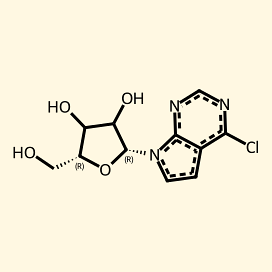 OC[C@H]1O[C@@H](n2ccc3c(Cl)ncnc32)C(O)C1O